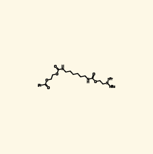 CCCCN(CCC)CCOC(=O)NCCCCCCNC(=O)OCCOC(=O)C(C)C